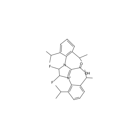 CC(C)c1cccc(C(C)C)c1N1C(C(=O)O)=[N+](c2c(C(C)C)cccc2C(C)C)C(F)C1F